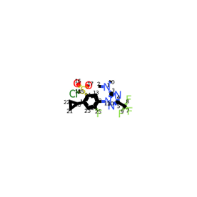 CN(C)c1nc(C(F)(F)F)nn1-c1cc(S(=O)(=O)Cl)c(C2CC2)cc1F